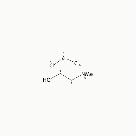 CNCCO.[Cl][Zr][Cl]